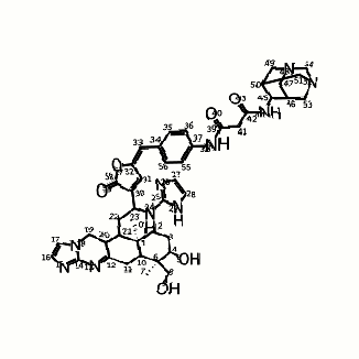 C[C@]12CC[C@@H](O)[C@@](C)(CO)C1CC1=Nc3nccn3CC1C2CC(Nc1ncc[nH]1)C1=C/C(=C\c2ccc(NC(=O)CC(=O)NC3C4CN5CC3CN(C4)C5)cc2)OC1=O